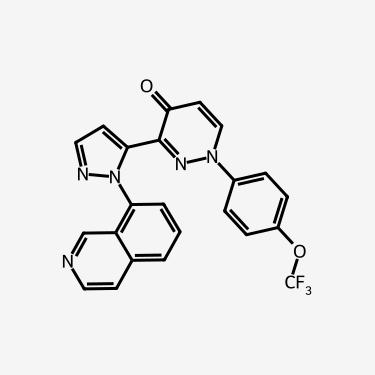 O=c1ccn(-c2ccc(OC(F)(F)F)cc2)nc1-c1ccnn1-c1cccc2ccncc12